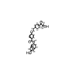 CN(C(=O)c1ccc(OCCC2CCN(C(=O)C(C)(C)O)CC2)cc1)C1CCC2CC3CC(O)(C2)CC31